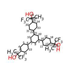 CC(O)(C1CCC(C2CC(C3CCC(C(C)(O)C(F)(F)F)CC3)CC(C3CCC(C(C)(O)C(F)(F)F)CC3)C2)CC1)C(F)(F)F